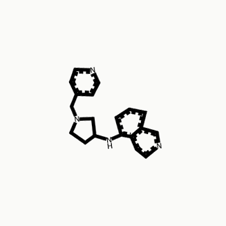 c1cc(NC2CCN(Cc3ccncc3)C2)c2ccncc2c1